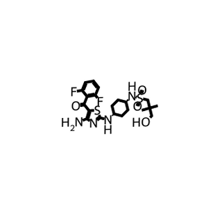 CC(C)(CO)CS(=O)(=O)N[C@H]1CC[C@H](Nc2nc(N)c(C(=O)c3c(F)cccc3F)s2)CC1